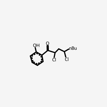 CCCCC(Cl)CC(Cl)C(=O)c1ccccc1O